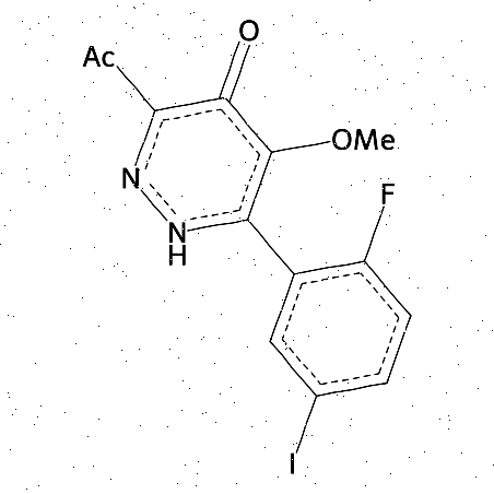 COc1c(-c2cc(I)ccc2F)[nH]nc(C(C)=O)c1=O